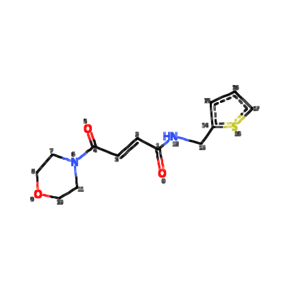 O=C(C=CC(=O)N1CCOCC1)NCc1cccs1